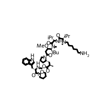 CC[C@H](C)[C@@H]([C@@H](CC(=O)N1CCC[C@H]1C[C@@H](C)C(=O)OCN[C@@H](Cc1c[nH]c2ccccc12)C(=O)N1CCCCO1)OC)N(C)C(=O)[C@@H](NC(=O)[C@H](C(C)C)N(C)CCCCCCN)C(C)C